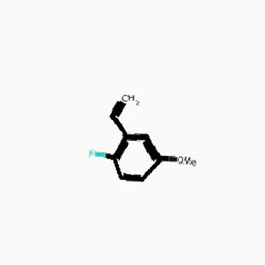 C=[C]c1cc(OC)ccc1F